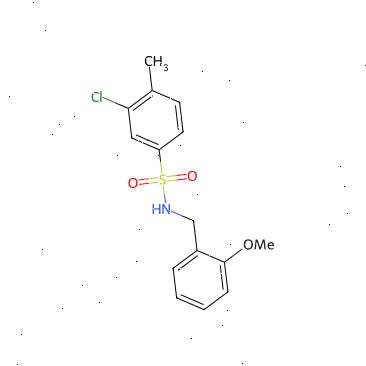 COc1ccccc1CNS(=O)(=O)c1ccc(C)c(Cl)c1